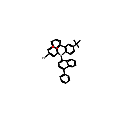 CC(C)(C)c1ccc(N(c2cccc(Br)c2)c2ccc(-c3ccccc3)c3ccccc23)c(-c2ccccc2)c1